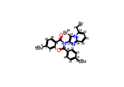 CC(C)(C)c1ccc(C(=O)N(C(=O)c2ccc(C(C)(C)C)cc2)c2nc3cccc(CBr)n3c2Br)cc1